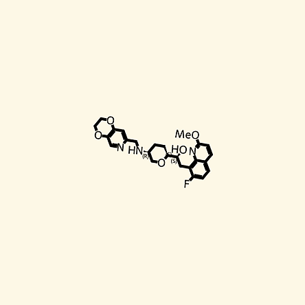 COc1ccc2ccc(F)c(C[C@H](O)[C@@H]3CC[C@@H](NCc4cc5c(cn4)OCCO5)CO3)c2n1